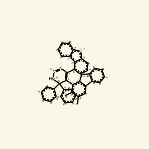 Cc1cc2c(c(C3=C(c4cccc5oc6ccccc6c45)N=NNC3(c3ccccc3)c3ccccc3)c1C)Cc1ccccc1-2